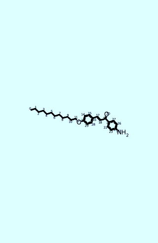 CCCCCCCCCCCCOc1ccc(/C=C/C(=O)c2ccc(N)cc2)cc1